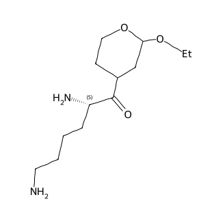 CCOC1CC(C(=O)[C@@H](N)CCCCN)CCO1